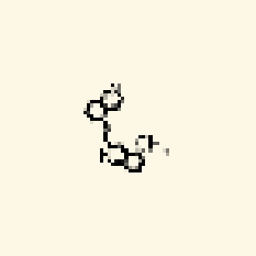 Cc1cccc2cnc(CCc3cccc4cnccc34)cc12